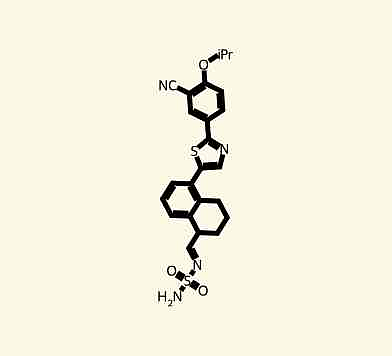 CC(C)Oc1ccc(-c2ncc(-c3cccc4c3CCCC4/C=N/S(N)(=O)=O)s2)cc1C#N